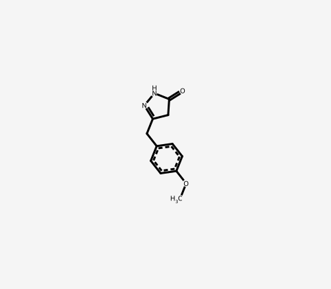 COc1ccc(CC2=NNC(=O)C2)cc1